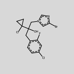 OC(Cc1ccc(Cl)cc1F)(Cn1cnc(Br)c1)C1(Cl)CC1